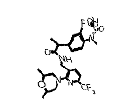 CC1CN(c2nc(C(F)(F)F)ccc2CNC(=O)C(C)c2ccc(N(C)[SH](=O)=O)c(F)c2)CC(C)O1